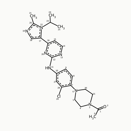 CC(=O)N1CCN(c2ccc(Nc3nccc(-c4cnc(C)n4C(C)C)n3)cc2Cl)CC1